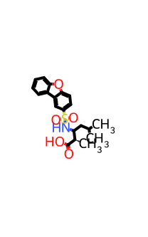 CC(C)CC(NS(=O)(=O)c1ccc2oc3ccccc3c2c1)[C@H](C)C(=O)O